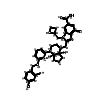 O=C(O)c1cc(Cl)c2nc(CN3CCN(c4cccc(OCc5ccc(Cl)cc5F)n4)[C@H]4COC[C@H]43)n(C[C@@H]3CCO3)c2c1